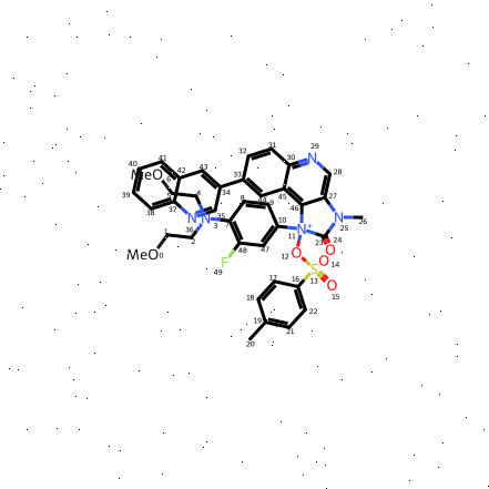 COCCN(CCOC)c1ccc([N+]2(OS(=O)(=O)c3ccc(C)cc3)C(=O)N(C)c3cnc4ccc(-c5cnc6ccccc6c5)cc4c32)cc1F